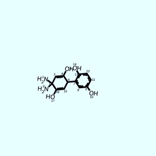 NC1(N)C=C(O)C(c2cc(O)ccc2O)C=C1O